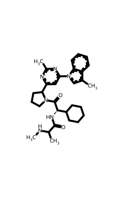 CNC(C)C(=O)N[C@H](C(=O)N1CCCC1c1cc(-n2cc(C)c3ccccc32)nc(C)n1)C1CCCCC1